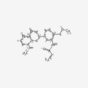 C=CC(=O)Nc1cc(-c2ccc3nccc(NC)c3c2)ccc1COC